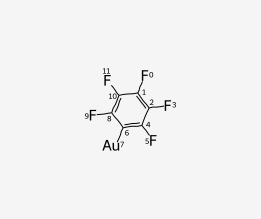 Fc1c(F)c(F)[c]([Au])c(F)c1F